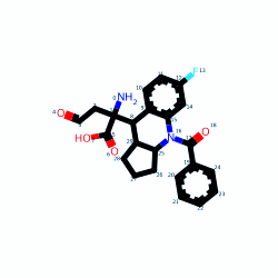 NC(CC=O)(C(=O)O)C1c2ccc(F)cc2N(C(=O)c2ccccc2)C2CCCC21